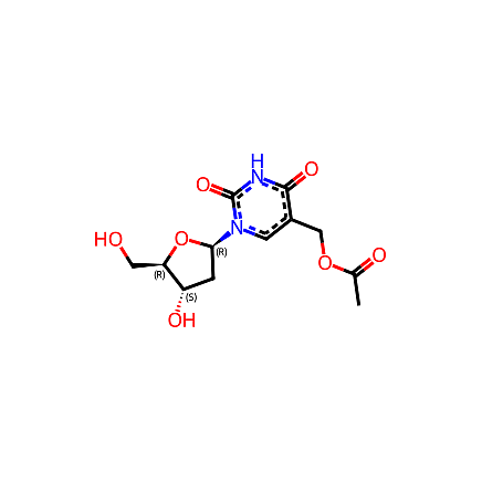 CC(=O)OCc1cn([C@H]2C[C@H](O)[C@@H](CO)O2)c(=O)[nH]c1=O